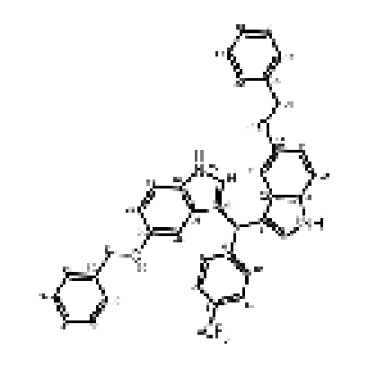 FC(F)(F)c1ccc(C(c2c[nH]c3ccc(OCc4ccccc4)cc23)c2c[nH]c3ccc(OCc4ccccc4)cc23)cc1